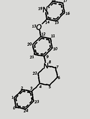 c1ccc(C2CCCN(c3ccc(Oc4ccccn4)cc3)C2)cc1